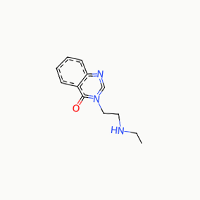 CCNCCn1cnc2ccccc2c1=O